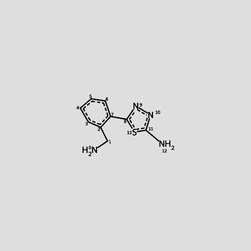 NCc1ccccc1-c1nnc(N)s1